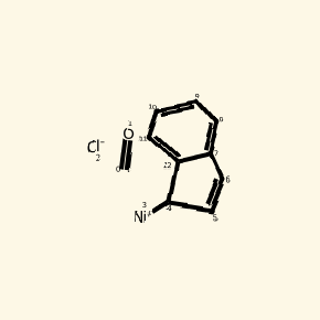 [C]=O.[Cl-].[Ni+][CH]1C=Cc2ccccc21